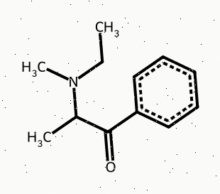 CCN(C)C(C)C(=O)c1ccccc1